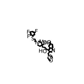 COc1ccc2ncc(CN3CCOCC3)c([C@@H](O)CCC3(CO)CCN(CCSc4cc(F)cc(F)c4F)CC3)c2c1